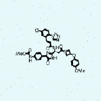 COC(=O)Nc1ccc(-c2nc([C@H](CC(=O)N3CC(Oc4ccc(OC)cc4)C3)NC(=O)/C=C/c3cc(Cl)ccc3-n3cnnn3)[nH]c2Cl)cc1